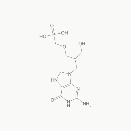 Nc1nc2c(c(=O)[nH]1)NCN2CC(CO)COCP(=O)(O)O